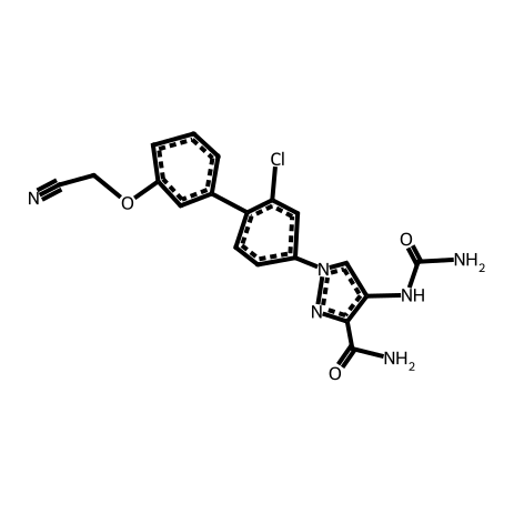 N#CCOc1cccc(-c2ccc(-n3cc(NC(N)=O)c(C(N)=O)n3)cc2Cl)c1